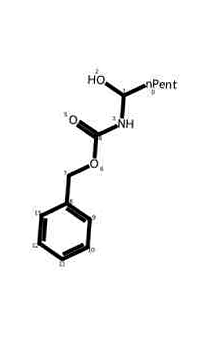 CCCCCC(O)NC(=O)OCc1ccccc1